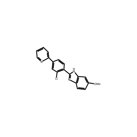 COc1ccc2nc(-c3ccc(-c4ccccn4)cc3Cl)[nH]c2c1